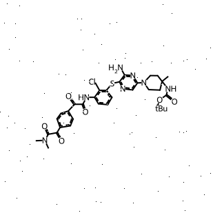 CN(C)C(=O)C(=O)c1ccc(C(=O)C(=O)Nc2cccc(Sc3ncc(N4CCC(C)(NC(=O)OC(C)(C)C)CC4)nc3N)c2Cl)cc1